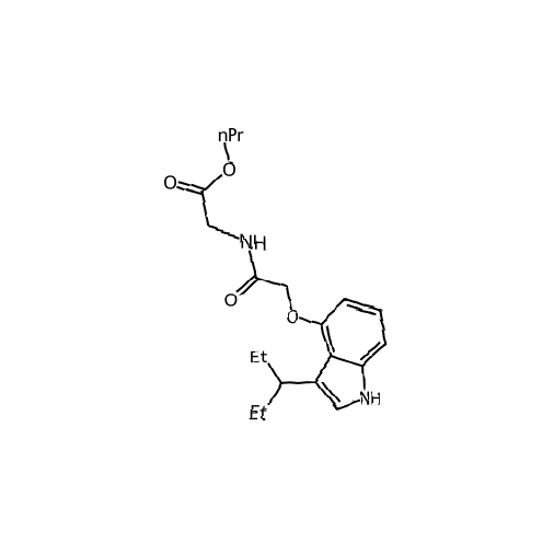 CCCOC(=O)CNC(=O)COc1cccc2[nH]cc(C(CC)CC)c12